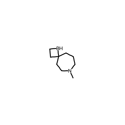 CN1CCCC2(BCC2)CC1